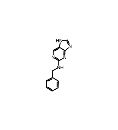 c1ccc(CNc2ncc3[nH]cnc3n2)cc1